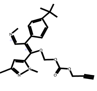 C#CCOC(=O)OCO/C(=C(/C=N\C)c1ccc(C(C)(C)C)cc1)c1cc(C)nn1C